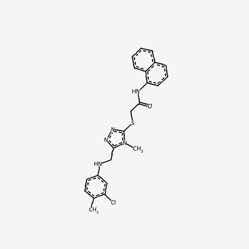 Cc1ccc(NCc2nnc(SCC(=O)Nc3cccc4ccccc34)n2C)cc1Cl